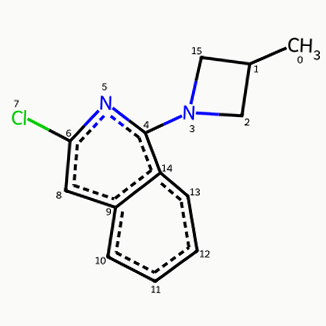 CC1CN(c2nc(Cl)cc3ccccc23)C1